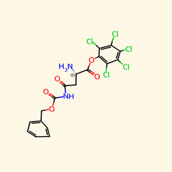 N[C@@H](CC(=O)NC(=O)OCc1ccccc1)C(=O)Oc1c(Cl)c(Cl)c(Cl)c(Cl)c1Cl